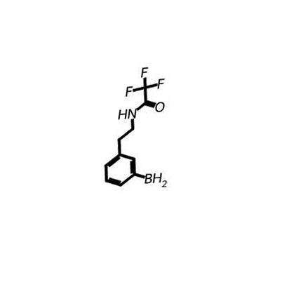 Bc1cccc(CCNC(=O)C(F)(F)F)c1